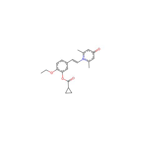 CCOc1ccc(/C=C/n2c(C)cc(=O)cc2C)cc1OC(=O)C1CC1